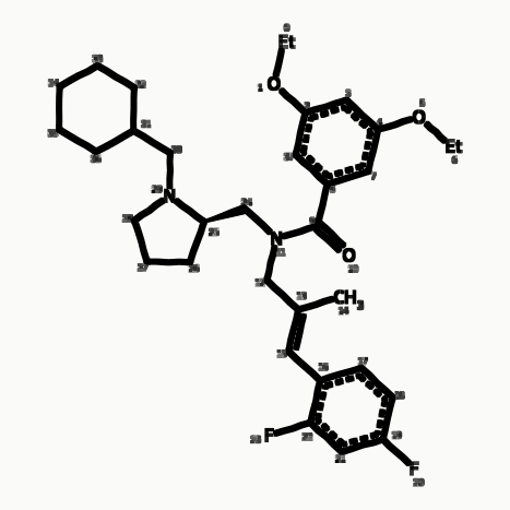 CCOc1cc(OCC)cc(C(=O)N(C/C(C)=C/c2ccc(F)cc2F)C[C@H]2CCCN2CC2CCCCC2)c1